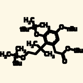 CCCCOc1cc(CC(=O)OC(C)(C)C)c(C(C)(C)CCO[Si](C)(C)C(C)(C)C)c(O[Si](C)(C)C(C)(C)C)c1